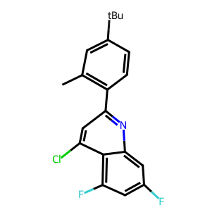 Cc1cc(C(C)(C)C)ccc1-c1cc(Cl)c2c(F)cc(F)cc2n1